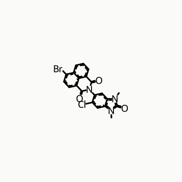 Cn1c(=O)n(C)c2cc(N3C(=O)c4cccc5c(Br)ccc(c45)C3=O)c(Cl)cc21